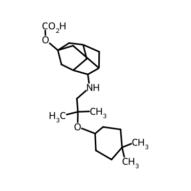 CC1(C)CCC(OC(C)(C)CNC2C3CC4CC2CC(OC(=O)O)(C4)C3)CC1